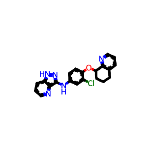 Clc1cc(Nc2n[nH]c3cccnc23)ccc1OC1CCCc2cccnc21